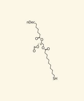 CCCCCCCCCCCCCCCC(=O)O[C@@H](COP=O)COC(=O)CCCCCCCCCCS